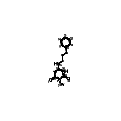 CC(C)n1c(=O)cc(NCCCc2ccccc2)[nH]c1=O